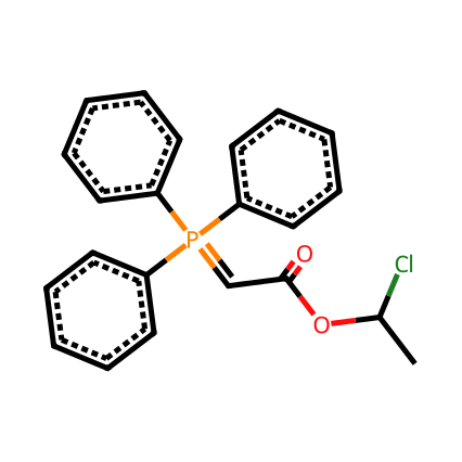 CC(Cl)OC(=O)C=P(c1ccccc1)(c1ccccc1)c1ccccc1